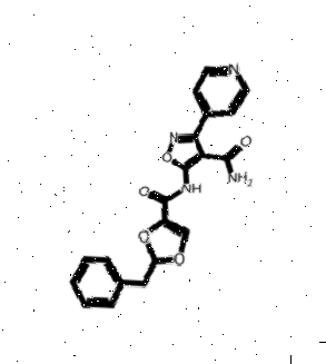 NC(=O)c1c(-c2ccncc2)noc1NC(=O)C1=COC(Cc2ccccc2)O1